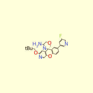 CC(C)(C)COc1cc2c(cn1)Oc1ccc(-c3cncc(F)c3)cc1[C@@]21COCC(N)=N1